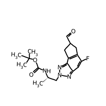 C[C@@H](Cn1nc2cc(F)c3c(c2n1)CC(C=O)C3)NC(=O)OC(C)(C)C